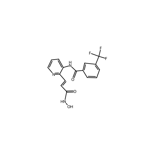 O=C(/C=C/c1ncccc1NC(=O)c1cccc(C(F)(F)F)c1)NO